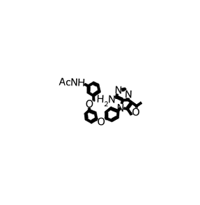 CC(=O)Nc1cccc(COc2cccc(Oc3ccc(-n4c5c(c6ncnc(N)c64)C(C)OC5)cc3)c2)c1